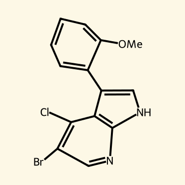 COc1ccccc1-c1c[nH]c2ncc(Br)c(Cl)c12